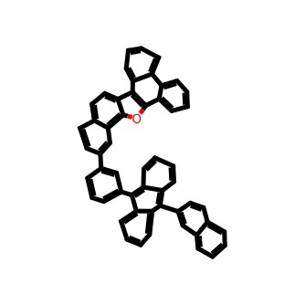 c1cc(-c2ccc3ccc4c(oc5c6ccccc6c6ccccc6c45)c3c2)cc(-c2c3ccccc3c(-c3ccc4ccccc4c3)c3ccccc23)c1